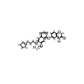 COc1cc2c(Oc3ccc4c(c3)NC(=O)CO4)ncnc2cc1OCCCN1CCCC1